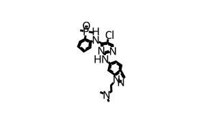 CN(C)CCn1ncc2ccc(Nc3ncc(Cl)c(Nc4ccccc4P(C)(C)=O)n3)cc21